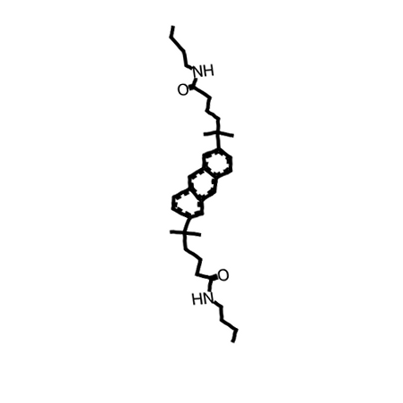 CCCCNC(=O)CCCC(C)(C)c1ccc2cc3cc(C(C)(C)CCCC(=O)NCCCC)ccc3cc2c1